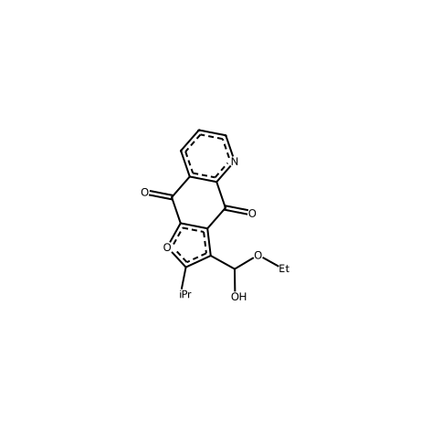 CCOC(O)c1c(C(C)C)oc2c1C(=O)c1ncccc1C2=O